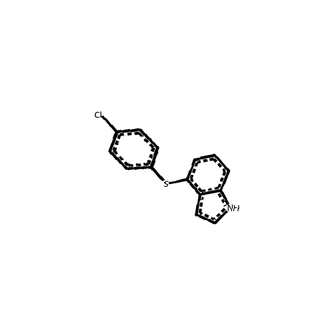 Clc1ccc(Sc2cccc3[nH]ccc23)cc1